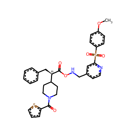 COc1ccc(S(=O)(=O)c2cc(CNOC(=O)[C@H](Cc3ccccc3)C3CCN(C(=O)c4cccs4)CC3)ccn2)cc1